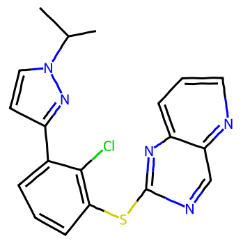 CC(C)n1ccc(-c2cccc(Sc3ncc4ncccc4n3)c2Cl)n1